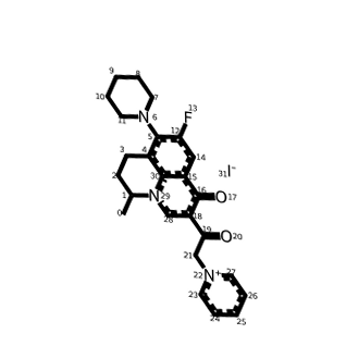 CC1CCc2c(N3CCCCC3)c(F)cc3c(=O)c(C(=O)C[n+]4ccccc4)cn1c23.[I-]